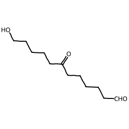 O=CCCCCCC(=O)CCCCCO